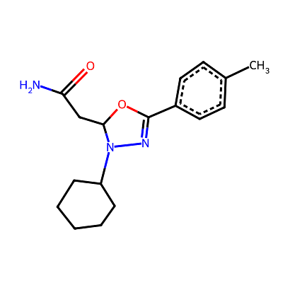 Cc1ccc(C2=NN(C3CCCCC3)C(CC(N)=O)O2)cc1